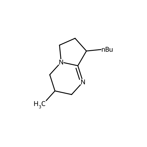 CCCCC1CCN2CC(C)CN=C12